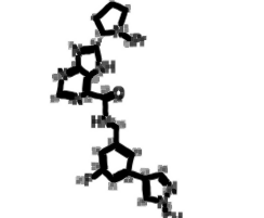 CC(C)N1CCC[C@H]1c1nc2ncnc(C(=O)NCc3cc(F)cc(-c4cnn(C)c4)c3)c2[nH]1